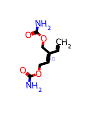 C=C/C(=C/COC(N)=O)COC(N)=O